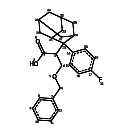 O=C(O)C(COCc1ccccc1)C1(c2ccc(F)cc2)C2CC3CC(C2)CC1C3